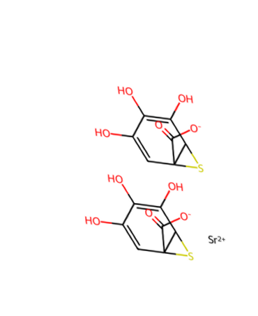 O=C([O-])C12C=C(O)C(O)=C(O)C1S2.O=C([O-])C12C=C(O)C(O)=C(O)C1S2.[Sr+2]